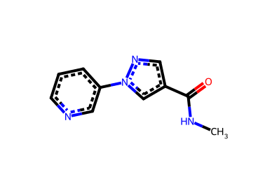 CNC(=O)c1cnn(-c2cccnc2)c1